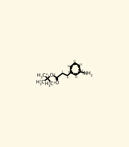 CC(C)(C)OC(=O)CCc1cccc(N)c1